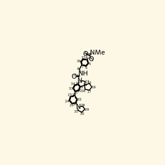 CNS(=O)(=O)c1ccc(CNC(=O)N2CC3(CCCC3)c3cc(-c4cccc(N5CCCC5)c4)ccc32)cc1